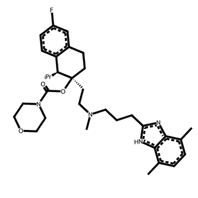 Cc1ccc(C)c2[nH]c(CCCN(C)CC[C@@]3(OC(=O)N4CCOCC4)CCc4cc(F)ccc4[C@@H]3C(C)C)nc12